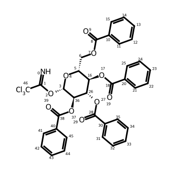 N=C(O[C@@H]1O[C@H](COC(=O)c2ccccc2)[C@@H](OC(=O)c2ccccc2)[C@H](OC(=O)c2ccccc2)[C@H]1OC(=O)c1ccccc1)C(Cl)(Cl)Cl